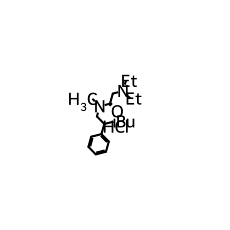 CCC(C)C(CN(C)C(=O)CN(CC)CC)c1ccccc1.Cl